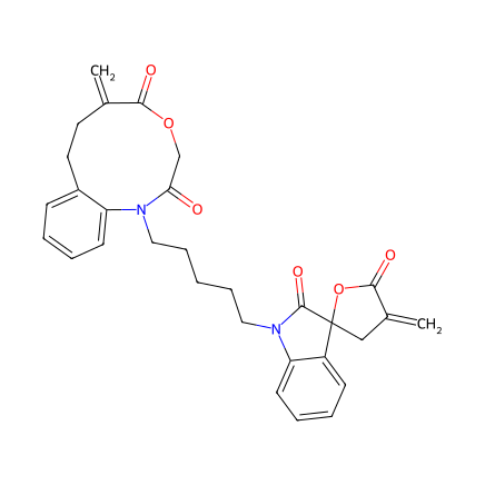 C=C1CCc2ccccc2N(CCCCCN2C(=O)C3(CC(=C)C(=O)O3)c3ccccc32)C(=O)COC1=O